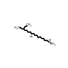 C=CCC(CC=C)CCCCCCCCCCCCCCCNC.I